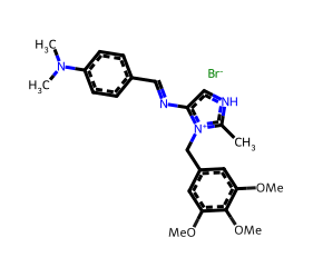 COc1cc(C[n+]2c(N=Cc3ccc(N(C)C)cc3)c[nH]c2C)cc(OC)c1OC.[Br-]